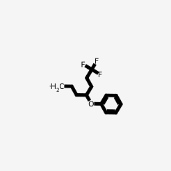 [CH2]CCC(CCC(F)(F)F)Oc1ccccc1